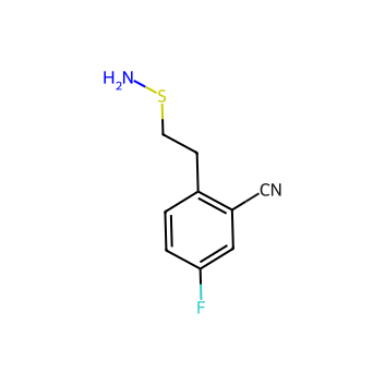 N#Cc1cc(F)ccc1CCSN